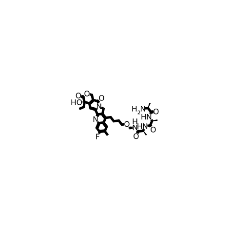 CC[C@@]1(O)C(=O)OCc2c1cc1n(c2=O)Cc2c-1nc1cc(F)c(C)cc1c2CCCCOCNC(=O)[C@H](C)NC(=O)[C@H](C)NC(=O)[C@H](C)N